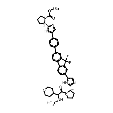 CC(C)(C)OC(=O)N1CCC[C@H]1c1ncc(-c2ccc(-c3ccc4c(c3)C(F)(F)c3cc(-c5cnc([C@@H]6CCCN6C(=O)C(NC(=O)O)C6CCOCC6)[nH]5)ccc3-4)cc2)[nH]1